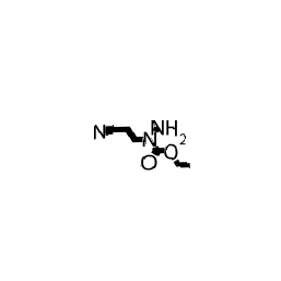 CCOC(=O)N(N)CCC#N